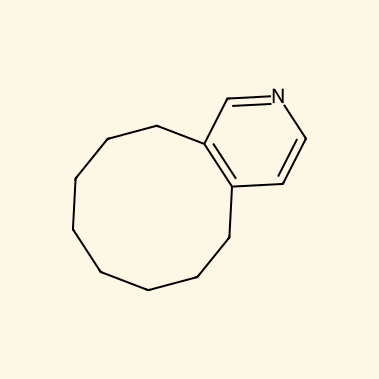 c1cc2c(cn1)CCCCCCCC2